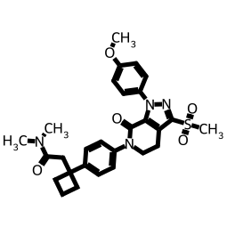 COc1ccc(-n2nc(S(C)(=O)=O)c3c2C(=O)N(c2ccc(C4(CC(=O)N(C)C)CCC4)cc2)CC3)cc1